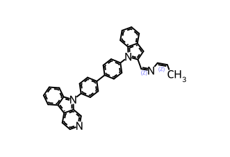 C/C=C\N=C/c1cc2ccccc2n1-c1ccc(-c2ccc(-n3c4ccccc4c4ccncc43)cc2)cc1